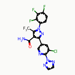 NC(=O)c1c(-c2cnc(-n3nccn3)c(Cl)c2)nn(-c2ccc(F)c(F)c2F)c1C(F)(F)F